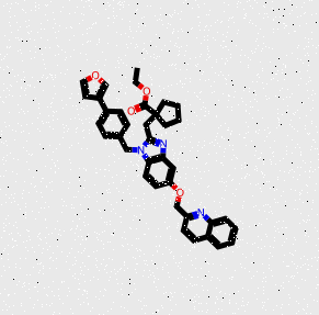 CCOC(=O)C1(Cc2nc3cc(OCc4ccc5ccccc5n4)ccc3n2Cc2ccc(-c3ccoc3)cc2)CCCC1